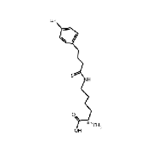 C[C@@H](CCCCNC(=S)CCCc1ccc([127I])cc1)C(=O)O